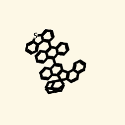 C1=CC2C(c3c4ccccc4c(-c4cccc5sc6ccccc6c45)c4ccccc34)=CC3=C(C2C=C1)C1(c2ccc4ccccc4c23)C2CC3CC(C2)CC1C3